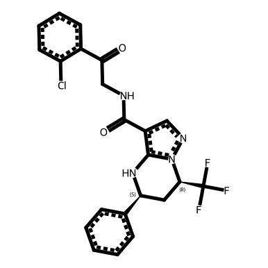 O=C(CNC(=O)c1cnn2c1N[C@H](c1ccccc1)C[C@@H]2C(F)(F)F)c1ccccc1Cl